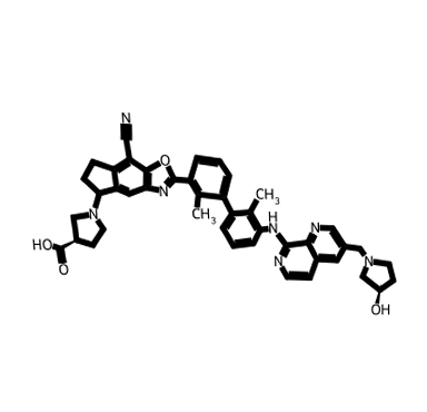 Cc1c(Nc2nccc3cc(CN4CC[C@@H](O)C4)cnc23)cccc1-c1cccc(-c2nc3cc4c(c(C#N)c3o2)CCC4N2CC[C@@H](C(=O)O)C2)c1C